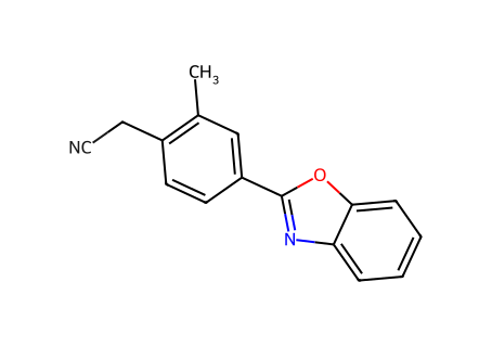 Cc1cc(-c2nc3ccccc3o2)ccc1CC#N